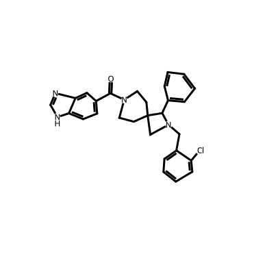 O=C(c1ccc2[nH]cnc2c1)N1CCC2(CC1)CN(Cc1ccccc1Cl)C2c1ccccc1